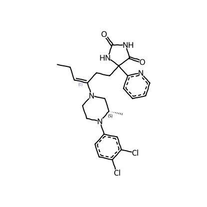 CC/C=C(\CCC1(c2ccccn2)NC(=O)NC1=O)N1CCN(c2ccc(Cl)c(Cl)c2)[C@@H](C)C1